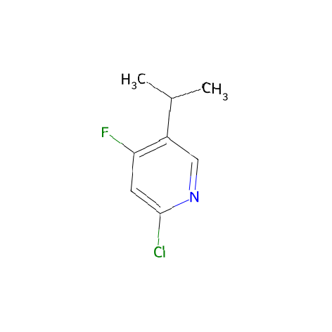 CC(C)c1cnc(Cl)cc1F